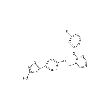 Oc1cc(-c2ccc(OCc3cccnc3Oc3cccc(F)c3)cc2)on1